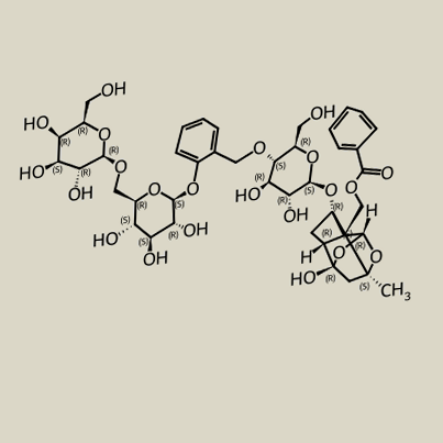 C[C@@]12C[C@@]3(O)O[C@@H](O1)[C@]1(COC(=O)c4ccccc4)[C@H]3C[C@@]12O[C@@H]1O[C@H](CO)[C@@H](OCc2ccccc2O[C@@H]2O[C@H](CO[C@@H]3O[C@H](CO)[C@H](O)[C@H](O)[C@H]3O)[C@@H](O)[C@H](O)[C@H]2O)[C@H](O)[C@H]1O